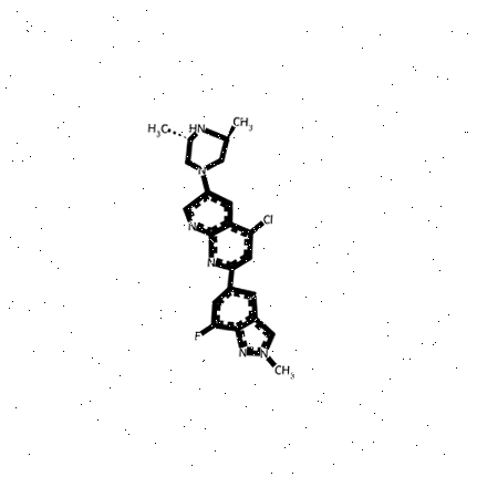 C[C@H]1CN(c2cnc3nc(-c4cc(F)c5nn(C)cc5c4)cc(Cl)c3c2)C[C@H](C)N1